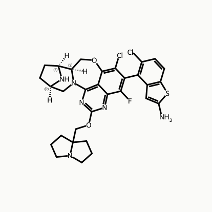 Nc1cc2c(-c3c(Cl)c4c5c(nc(OCC67CCCN6CCC7)nc5c3F)N3C[C@H]5CC[C@H](N5)[C@H]3CO4)c(Cl)ccc2s1